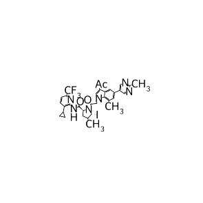 CC(=O)c1cn(CC(=O)N2[C@H](I)[C@@H](C)C[C@H]2C(=O)Nc2nc(C(F)(F)F)ccc2C2CC2)c2c(C)cc(-c3cnc(C)nc3)cc12